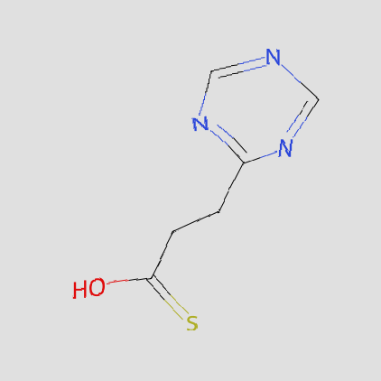 OC(=S)CCc1ncncn1